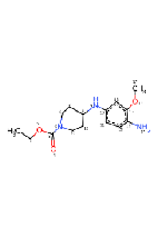 CCOC(=O)N1CCC(Nc2ccc(N)c(OC)c2)CC1